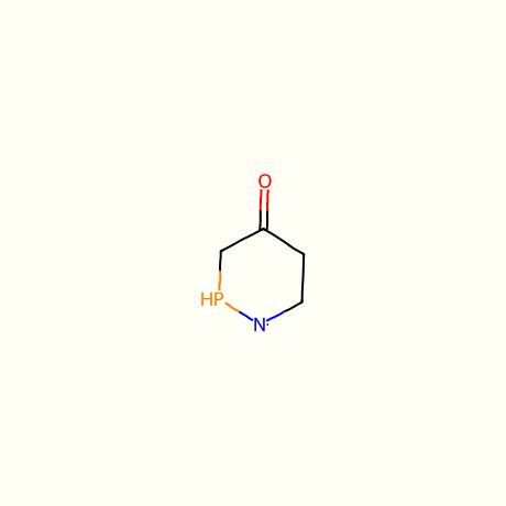 O=C1CC[N]PC1